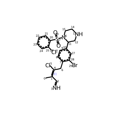 C/C(C=N)=C(\Cl)Cc1ccc(C2CNCCN2S(=O)(=O)c2ccccc2C(F)(F)F)cc1Br